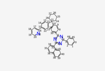 c1ccc(-c2nc(-c3ccc(C4(c5ccc(-c6ccccn6)cc5)CCCCC4)cc3)nc(-c3cccc4ccccc34)n2)cc1